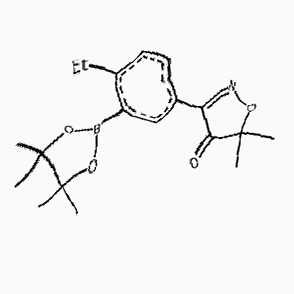 CCc1ccc(C2=NOC(C)(C)C2=O)cc1B1OC(C)(C)C(C)(C)O1